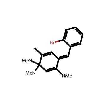 CNC1=CC(NC)(NC)C(C)=CC1=Cc1ccccc1Br